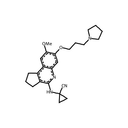 COc1cc2c3c(c(NC4(C#N)CC4)nc2cc1OCCCN1CCCC1)CCC3